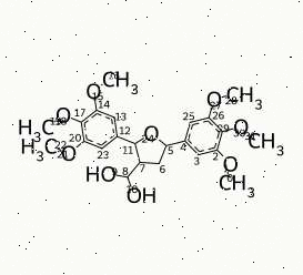 COc1cc(C2CC(C(O)O)C(c3cc(OC)c(OC)c(OC)c3)O2)cc(OC)c1OC